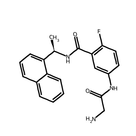 C[C@@H](NC(=O)c1cc(NC(=O)CN)ccc1F)c1cccc2ccccc12